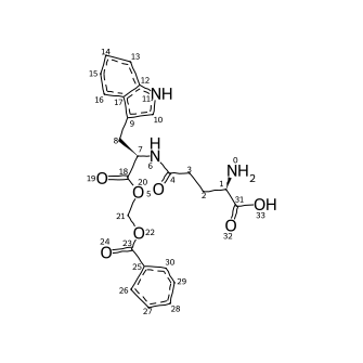 N[C@H](CCC(=O)N[C@H](Cc1c[nH]c2ccccc12)C(=O)OCOC(=O)c1ccccc1)C(=O)O